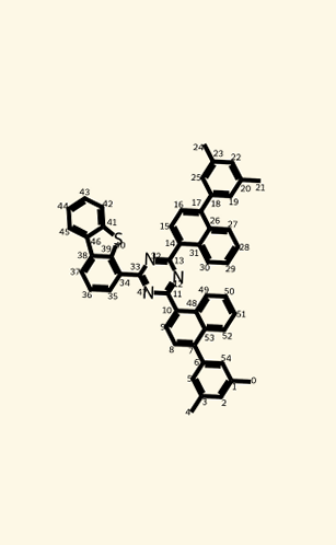 Cc1cc(C)cc(-c2ccc(-c3nc(-c4ccc(-c5cc(C)cc(C)c5)c5ccccc45)nc(-c4cccc5c4sc4ccccc45)n3)c3ccccc23)c1